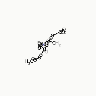 C=CCCC(Oc1ccc2c(/C=N/N(CC)c3nc4ccccc4s3)c(-c3ccc(C#Cc4ccc(OCCCOC(=O)C=C)cc4)c(Cl)c3)ccc2c1F)c1ccc(OCCCCCCOCC2(CC)COC2)cc1